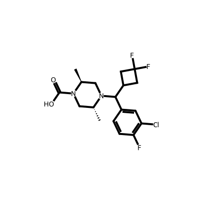 C[C@@H]1CN(C(=O)O)[C@@H](C)CN1C(c1ccc(F)c(Cl)c1)C1CC(F)(F)C1